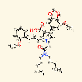 CCCCN(CCCC)C(=O)CN1C[C@H](c2cc(OC)c3c(c2)OCO3)[C@@H](C(=O)O)[C@@H]1CCCc1ccccc1OC